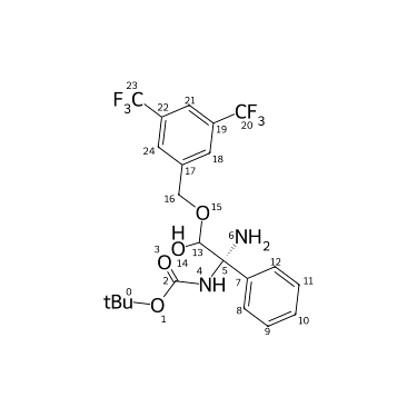 CC(C)(C)OC(=O)N[C@](N)(c1ccccc1)C(O)OCc1cc(C(F)(F)F)cc(C(F)(F)F)c1